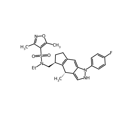 CCN(C[C@H]1CCC2=C1[C@@H](C)C1=CNN(c3ccc(F)cc3)C1=C2)S(=O)(=O)c1c(C)noc1C